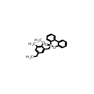 CCc1cc(C)c(OC)c(CP2(=O)Oc3ccccc3-c3ccccc32)c1